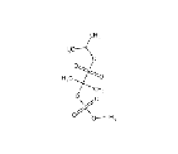 COS(=O)(=O)OC(C)(C)S(=O)(=O)OC(C)C